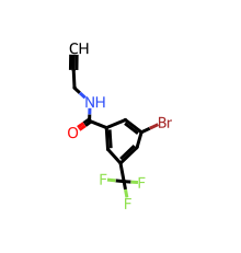 C#CCNC(=O)c1cc(Br)cc(C(F)(F)F)c1